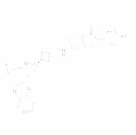 O=C1CCC(N2Cc3cc(NC[C@H]4C[C@H](n5cc(-c6cnc7ccccc7n6)c(C6CC6)n5)C4)ccc3C2=O)C(=O)N1